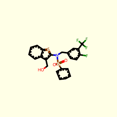 O=S(=O)(c1ccccc1)N(Cc1ccc(F)c(C(F)(F)F)c1)c1sc2ccccc2c1CO